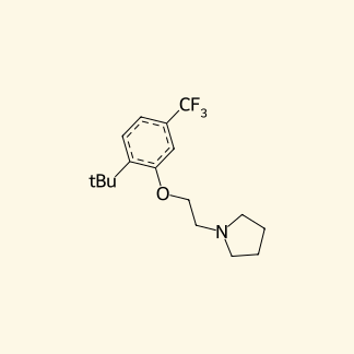 CC(C)(C)c1ccc(C(F)(F)F)cc1OCCN1CCCC1